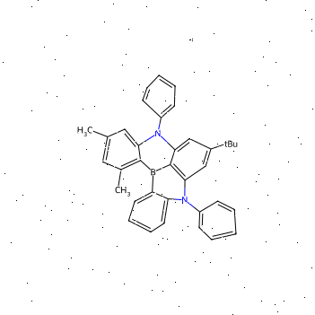 Cc1cc(C)c2c(c1)N(c1ccccc1)c1cc(C(C)(C)C)cc3c1B2c1ccccc1N3c1ccccc1